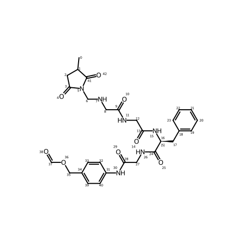 CC1CC(=O)N(CNCC(=O)NCC(=O)N[C@@H](Cc2ccccc2)C(=O)NCC(=O)Nc2ccc(COC=O)cc2)C1=O